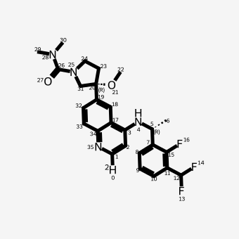 [2H]c1cc(N[C@H](C)c2cccc(C(F)F)c2F)c2cc([C@]3(OC)CCN(C(=O)N(C)C)C3)ccc2n1